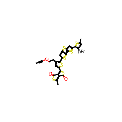 CC#COCCc1cc(C2=C3C(=O)SC(C)=C3C(=O)S2)sc1-c1cc2sc3cc(-c4sc(C)cc4CCC)sc3c2s1